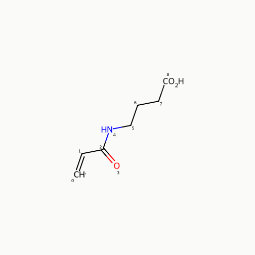 [CH]=CC(=O)NCCCC(=O)O